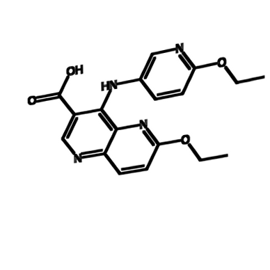 CCOc1ccc(Nc2c(C(=O)O)cnc3ccc(OCC)nc23)cn1